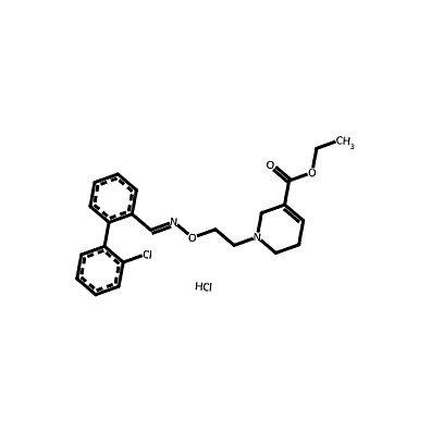 CCOC(=O)C1=CCCN(CCON=Cc2ccccc2-c2ccccc2Cl)C1.Cl